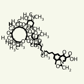 C=C1OCc2cc(CCCN(C)CCC(=O)O[C@H]3[C@H](C)O[C@@H](O[C@H]4[C@H](C)[C@@H](O[C@@H]5O[C@H](C)C[C@H](N(C)C)[C@H]5O)[C@](C)(OC)C[C@@H](C)C(=O)[C@H](C)[C@@H](O)[C@](C)(O)[C@@H](CC)OC(=O)[C@@H]4C)C[C@@]3(C)OC)cc3c(=O)c(C(=O)O)cn1c23